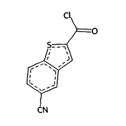 N#Cc1ccc2sc(C(=O)Cl)cc2c1